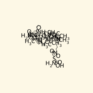 CC[C@H](C)[C@@H]([C@@H](CC(=O)N1CCC[C@H]1[C@H](OC)[C@@H](C)C(=O)N[C@@H](Cc1c[nH]c2ccccc12)C(N)=O)OC)N(C)[C@H](C(=O)NC(=O)[C@H](C(C)C)N(C)CCCCCCN1C(=O)CC(SC[C@H](N)C(=O)O)C1=O)C(C)C